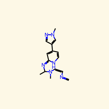 C=N/C=C\N(C)C(C)/N=c1/cc(-c2cnn(C)c2)cc[nH]1